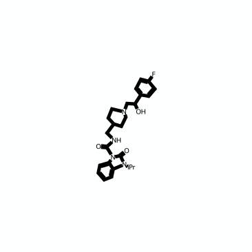 CC(C)n1c(=O)n(C(=O)NCC2CCN(CC(O)c3ccc(F)cc3)CC2)c2ccccc21